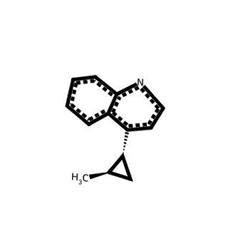 C[C@@H]1C[C@H]1c1ccnc2ccccc12